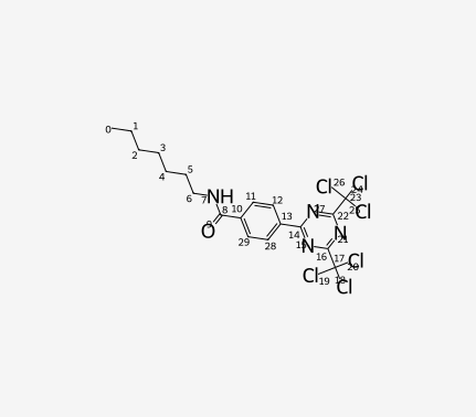 CCCCCCCNC(=O)c1ccc(-c2nc(C(Cl)(Cl)Cl)nc(C(Cl)(Cl)Cl)n2)cc1